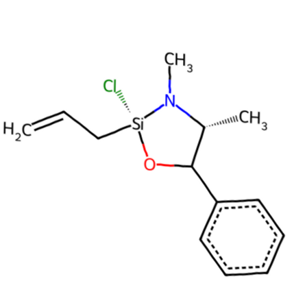 C=CC[Si@]1(Cl)OC(c2ccccc2)[C@@H](C)N1C